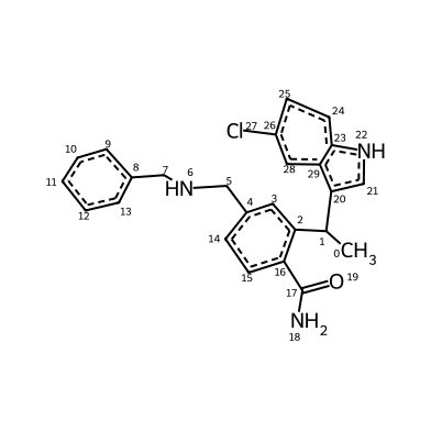 CC(c1cc(CNCc2ccccc2)ccc1C(N)=O)c1c[nH]c2ccc(Cl)cc12